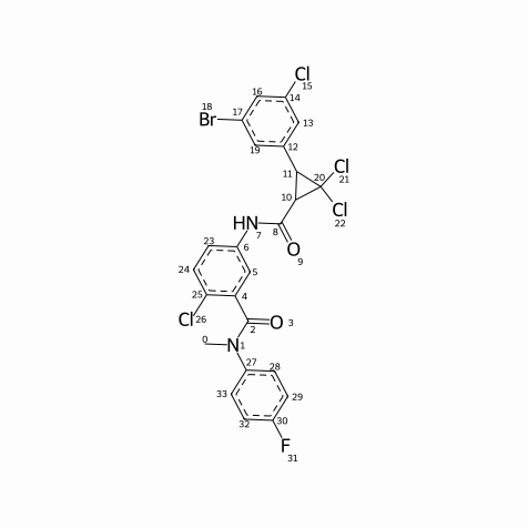 CN(C(=O)c1cc(NC(=O)C2C(c3cc(Cl)cc(Br)c3)C2(Cl)Cl)ccc1Cl)c1ccc(F)cc1